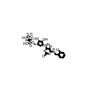 O=P(O)(O)C(F)(F)P(=O)(O)OC[C@H]1C[C@@H](n2nnc3c(NCc4ccccc4Cl)nc(Cl)nc32)[C@H](O)[C@@H]1O